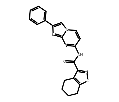 O=C(Nc1ccn2cc(-c3ccccc3)nc2n1)c1noc2c1CCCC2